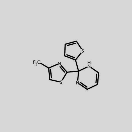 FC(F)(F)c1csc(C2(c3cccs3)N=[C]C=CN2)n1